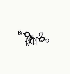 COc1ccc(CNc2nc3ccc(Br)cc3n3cnc(C)c23)c(OC)c1